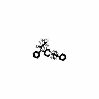 [2H]C([2H])([2H])C([2H])([2H])C(=O)N(c1ccccc1)C1CCN(C([2H])([2H])C([2H])([2H])c2ccccc2)CC1